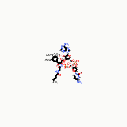 C=CCCC(=O)NCc1nc(C(=O)OC2C(O)[C@H](n3cnc4c(N)ncnc43)O[C@@H]2COP(=O)(O)OC2C[C@H](n3ccc(N)nc3=O)O[C@@H]2COP(=O)(O)O)c(-c2cc(OC)c(OC)c(OC)c2)o1